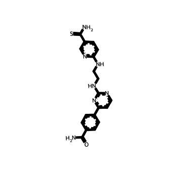 NC(=O)c1ccc(-c2ccnc(NCCNc3ccc(C(N)=S)cn3)n2)cc1